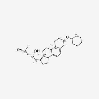 CC(C)[C@@H](C)C[C@H](O)[C@@H](C)C1CCC2C3=CC=C4C[C@@H](OC5CCCCO5)CC[C@]4(C)C3CC[C@@]21C